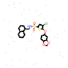 O=S(=O)(NCc1cccc2ccccc12)c1cc(Cl)c(Oc2ccc3c(c2)OCO3)s1